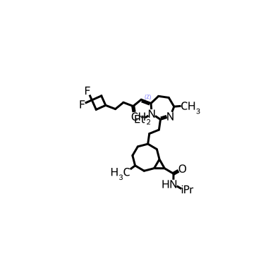 C=C(/C=C1/CCC(C)N=C(CCC2CCC(C)CC3C(C2)C3C(=O)NC(C)C)N1CC)CCC1CC(F)(F)C1